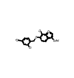 CC(=O)Oc1coc2c(Cl)c(OCc3ccc(Cl)cc3Cl)ccc12